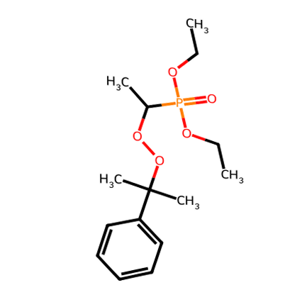 CCOP(=O)(OCC)C(C)OOC(C)(C)c1ccccc1